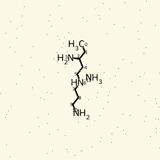 CCC(N)CCNCCCN.N